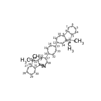 CC1(C)c2ccccc2-c2ccc(-c3ccc(-c4cnc5c(c4)C(C)(C)c4ccccc4-5)cc3)cc21